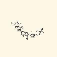 CC(=O)N1CCC(n2ncc(-c3cc4cc(NC(=O)C(=N)/C(C)=C(/C)N)cnc4[nH]3)c2C)CC1